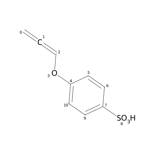 C=C=COc1ccc(S(=O)(=O)O)cc1